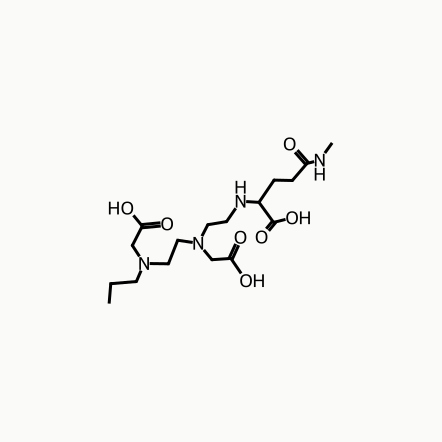 CCCN(CCN(CCNC(CCC(=O)NC)C(=O)O)CC(=O)O)CC(=O)O